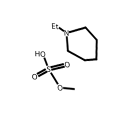 CCN1CCCCC1.COS(=O)(=O)O